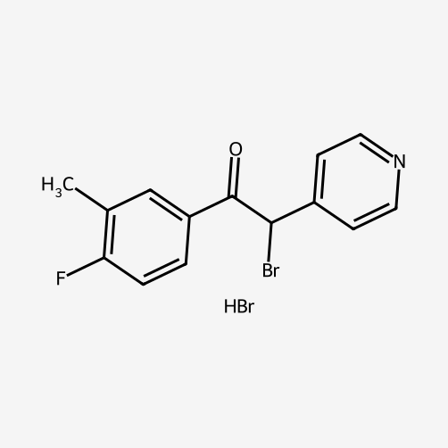 Br.Cc1cc(C(=O)C(Br)c2ccncc2)ccc1F